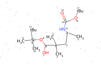 CC(CC(C)(C)C(O)O[Si](C)(C)C(C)(C)C)NC(=O)OC(C)(C)C